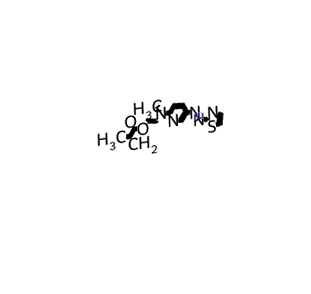 C=C(C)C(=O)OCCN(C)c1ccc(/N=N/c2nccs2)cn1